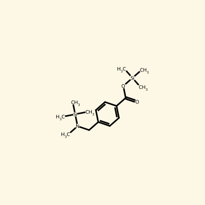 CN(Cc1ccc(C(=O)O[Si](C)(C)C)cc1)[Si](C)(C)C